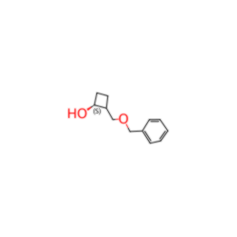 O[C@H]1CCC1COCc1ccccc1